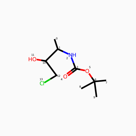 CC(NC(=O)OC(C)(C)C)C(O)CCl